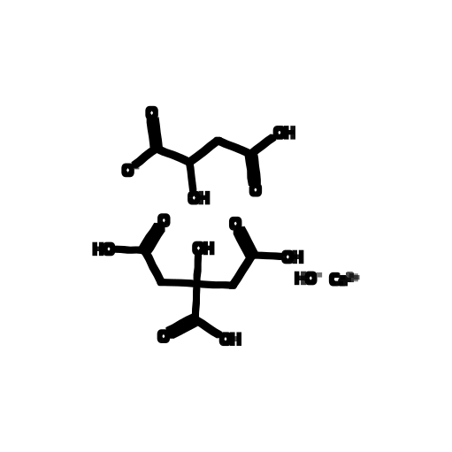 O=C(O)CC(O)(CC(=O)O)C(=O)O.O=C(O)CC(O)C(=O)[O-].[Ca+2].[OH-]